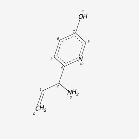 C=CC(N)c1ccc(O)cn1